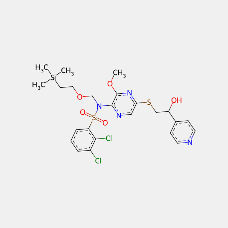 COc1nc(SCC(O)c2ccncc2)cnc1N(COCC[Si](C)(C)C)S(=O)(=O)c1cccc(Cl)c1Cl